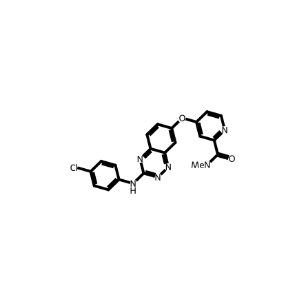 CNC(=O)c1cc(Oc2ccc3nc(Nc4ccc(Cl)cc4)nnc3c2)ccn1